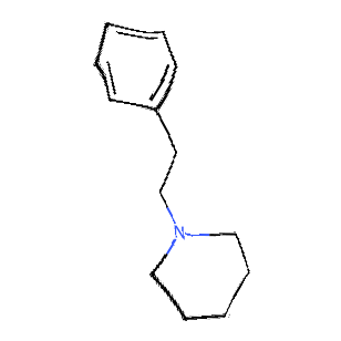 [CH]1CCN(CCc2ccccc2)CC1